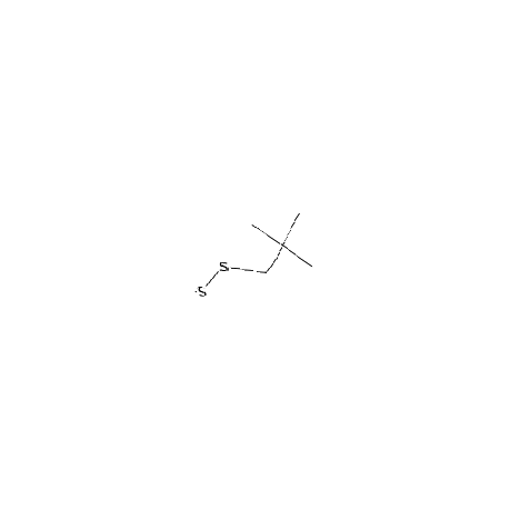 CC(C)(C)CS[S]